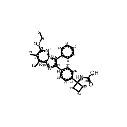 CCOc1nn2c(-c3ccccc3)c(-c3ccc(C4(NC(=O)O)CCC4)cc3)nc2c(C)c1C